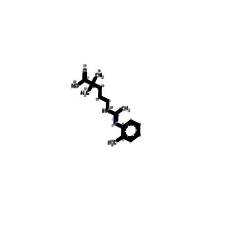 C/C(=N\c1ccccc1C)NCCCC(C)(C)C(=O)O